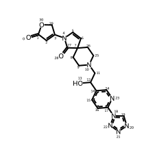 O=C1C=C(N2C=CC3(CCN(CC(O)c4ccc(-n5cnnn5)nc4)CC3)C2=O)CO1